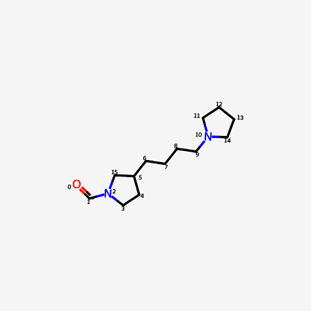 O=[C]N1CCC(CCCCN2CCCC2)C1